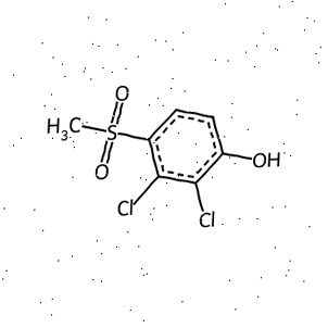 CS(=O)(=O)c1ccc(O)c(Cl)c1Cl